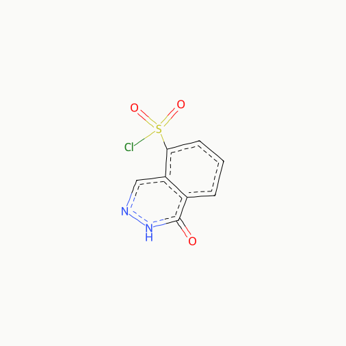 O=c1[nH]ncc2c(S(=O)(=O)Cl)cccc12